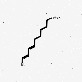 [CH2]CC=CC=CCCCCCCCCCCC